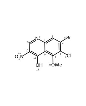 COc1c(Cl)c(Br)cc2ncc([N+](=O)[O-])c(O)c12